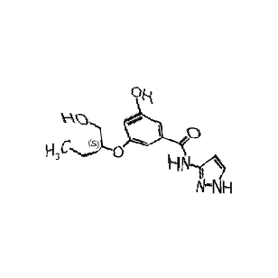 CC[C@@H](CO)Oc1cc(O)cc(C(=O)Nc2cc[nH]n2)c1